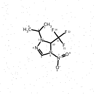 CC(C)N1N=CN([N+](=O)[O-])C1C(F)(F)F